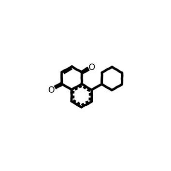 O=C1C=CC(=O)c2c1cccc2C1CCCCC1